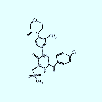 Cc1cc(NC(=O)[C@H](CS(C)(=O)=O)NC(=O)Nc2ccc(Cl)cc2)ccc1N1CCOCC1=O